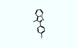 Cc1c(-c2ccc(F)cc2)nn2ccccc12